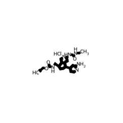 C#CCOC(=O)NCc1ccc(-c2ccnc(N)c2)c2cc(NC(=O)NCC)ncc12.Cl